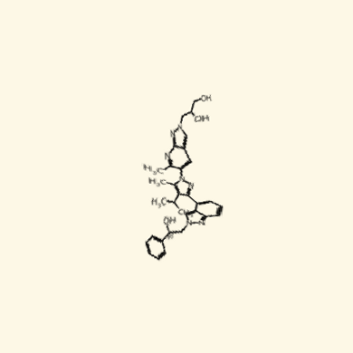 Cc1nc2nn(CC(O)CO)cc2cc1-n1nc(-c2cccc3nn(C[C@H](O)c4ccccc4)cc23)c(C(C)C)c1C